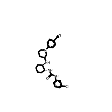 N#Cc1ccc(N2CCCC(N[C@@H]3CCCC[C@H]3NC(=O)Nc3cccc(Cl)c3)C2)cc1